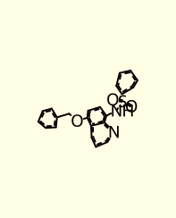 O=S(=O)(Nc1ccc(OCc2ccccc2)c2cccnc12)c1ccccc1